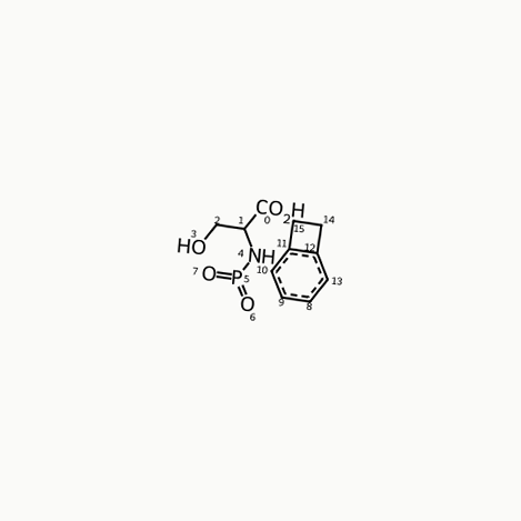 O=C(O)C(CO)NP(=O)=O.c1ccc2c(c1)CC2